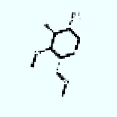 B[C@@H]1CO[C@H](COC)[C@@H](OC)[C@H]1C